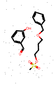 CS(=O)(=O)OCCCCOCc1ccccc1.O=Cc1cccc(O)c1